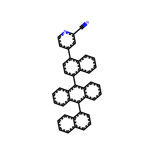 N#Cc1cc(-c2ccc(-c3c4ccccc4c(-c4cccc5ccccc45)c4ccccc34)c3ccccc23)ccn1